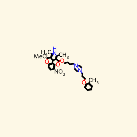 COC(=O)C1=C(C)NC(C)=C(C(=O)OCCCCN2CCN(CCCOc3ccccc3C)CC2)C1c1cccc([N+](=O)[O-])c1